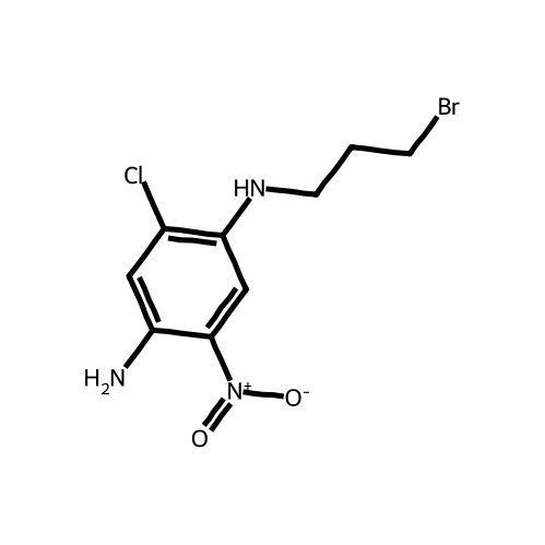 Nc1cc(Cl)c(NCCCBr)cc1[N+](=O)[O-]